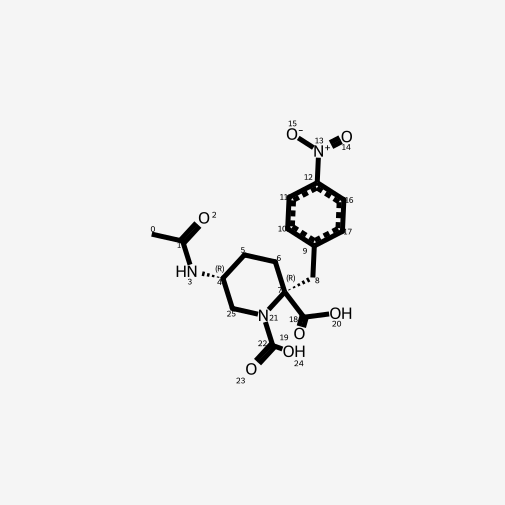 CC(=O)N[C@@H]1CC[C@@](Cc2ccc([N+](=O)[O-])cc2)(C(=O)O)N(C(=O)O)C1